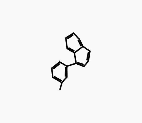 Cc1cc[c]c(-c2cccc3ccccc23)c1